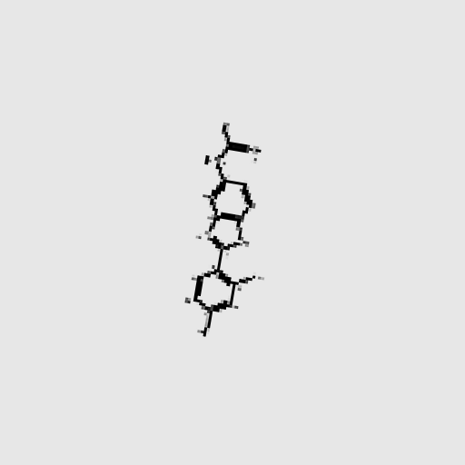 CC(=N)Nc1ccc2oc(-c3ccc(F)cc3F)nc2c1